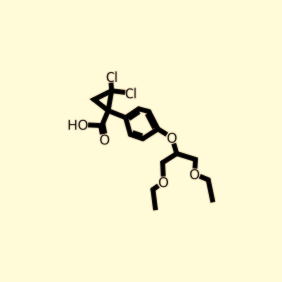 CCOCC(COCC)Oc1ccc(C2(C(=O)O)CC2(Cl)Cl)cc1